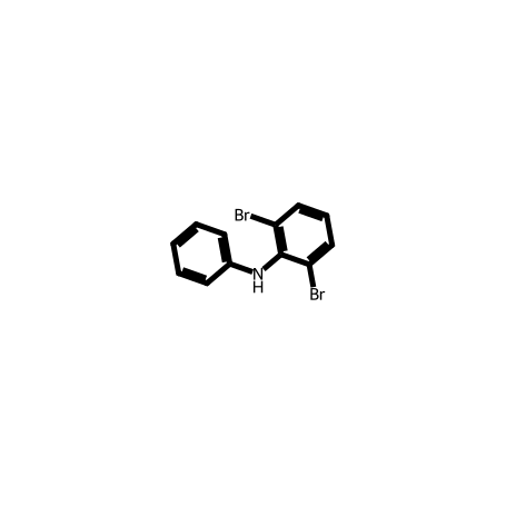 Brc1cccc(Br)c1Nc1ccccc1